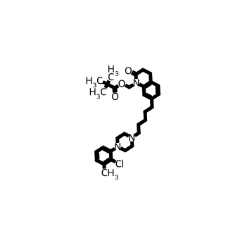 Cc1cccc(N2CCN(CCCCCc3ccc4c(c3)N(COC(=O)C(C)(C)C)C(=O)CC4)CC2)c1Cl